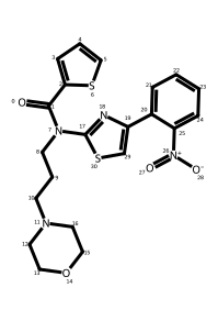 O=C(c1cccs1)N(CCCN1CCOCC1)c1nc(-c2ccccc2[N+](=O)[O-])cs1